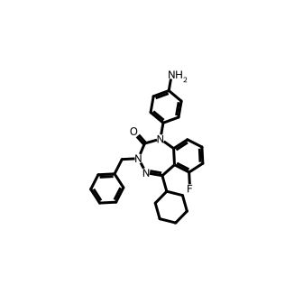 Nc1ccc(N2C(=O)N(Cc3ccccc3)N=C(C3CCCCC3)c3c(F)cccc32)cc1